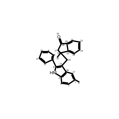 Cc1ccc2[nH]c(-c3ccccc3)c(CC3(C)CC(=O)c4ccccc43)c2c1